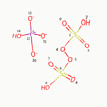 O=S(=O)(O)OOS(=O)(=O)O.[O-][I+3]([O-])([O-])O